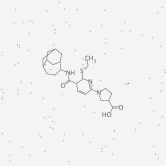 CCSC1N=C(N2CCC(C(=O)O)C2)C=CC1C(=O)NC1CCC2CC3CC2CC1C3